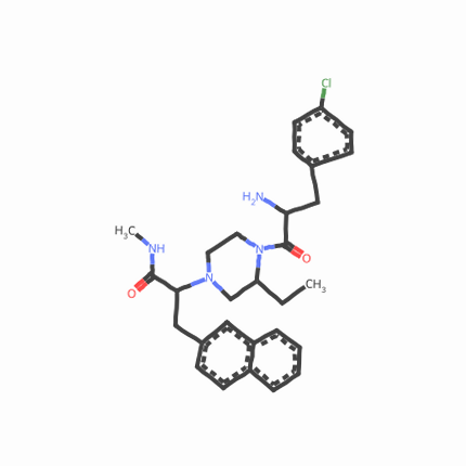 CCC1CN(C(Cc2ccc3ccccc3c2)C(=O)NC)CCN1C(=O)C(N)Cc1ccc(Cl)cc1